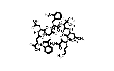 CCCC[C@H](NC(=O)[C@H](CC(C)C)NC(=O)[C@@H](NC(=O)[C@H](Cc1ccccc1C)NC(=O)[C@H](Cc1c[nH]c2ccccc12)NC(=O)[C@H](CC(=O)O)NC(=O)CCC(=O)O)C(C)(C)C)C(=O)C(N)=O